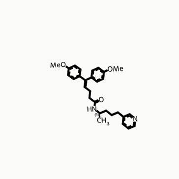 COc1ccc(C(=CCCC(=O)N[C@H](C)CCCc2cccnc2)c2ccc(OC)cc2)cc1